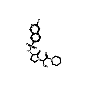 C[C@H](C(=O)N1CCCCC1)N1CC[C@@H](NS(=O)(=O)c2ccc3cc(Cl)ncc3c2)C1=O